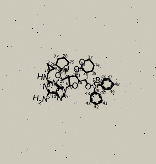 CC(C)(C)[Si](OC[C@H]1O[C@@H](n2cnc3c(N)nc(NC4CC4)nc32)[C@@](F)(COC2CCCCO2)[C@@H]1OC1CCCCO1)(c1ccccc1)c1ccccc1